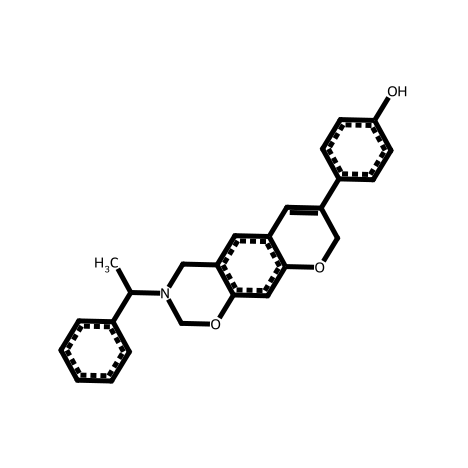 CC(c1ccccc1)N1COc2cc3c(cc2C1)C=C(c1ccc(O)cc1)CO3